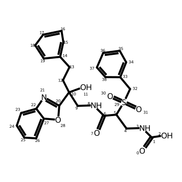 O=C(O)NCC(C(=O)NCC(O)(CCc1ccccc1)c1nc2ccccc2o1)S(=O)(=O)Cc1ccccc1